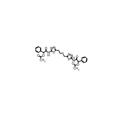 CC(=O)O[C@@H](C(=O)Nc1nnc(CCSCc2nnc(NC(=O)[C@H](OC(C)=O)c3ccccc3)s2)s1)c1ccccc1